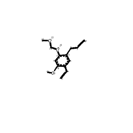 C=CCc1cc(C=C)c(OC)cc1OCOC